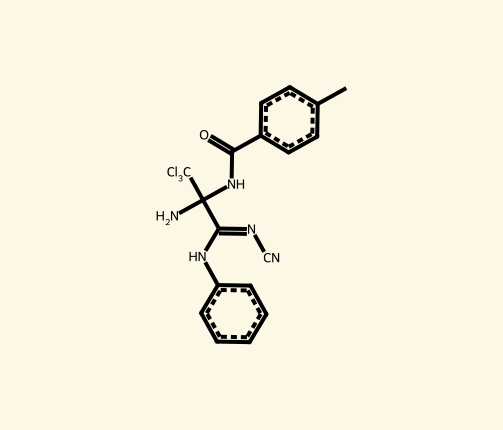 Cc1ccc(C(=O)NC(N)(C(=NC#N)Nc2ccccc2)C(Cl)(Cl)Cl)cc1